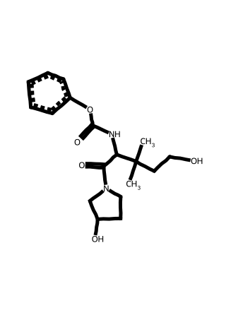 CC(C)(CCO)C(NC(=O)Oc1ccccc1)C(=O)N1CCC(O)C1